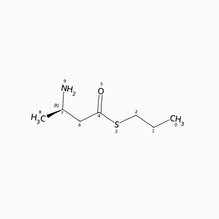 CCCSC(=O)C[C@@H](C)N